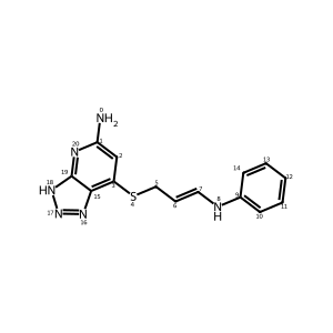 Nc1cc(SC/C=C/Nc2ccccc2)c2nn[nH]c2n1